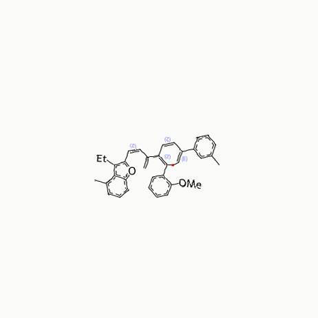 C=C(/C=C\c1oc2cccc(C)c2c1CC)C(/C=C\C(=C/C)c1cccc(C)c1)=C(/C)c1ccccc1OC